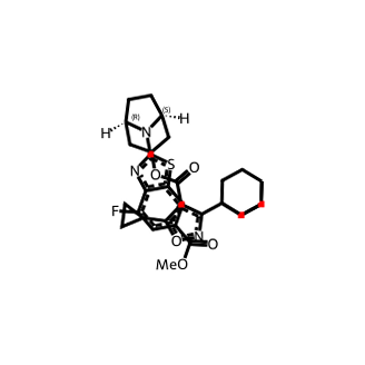 COC(=O)c1cc(F)c2nc(N3[C@@H]4CC[C@H]3CC(OC(=O)c3c(C56CCC(CC5)CC6)noc3C3CC3)C4)sc2c1